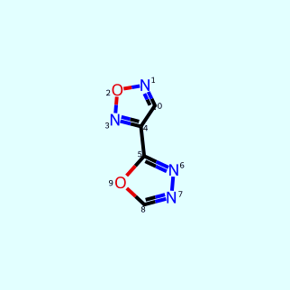 [c]1nonc1-c1nnco1